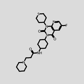 O=C(CCN1CCCCC1)NC1CCC(n2c(=O)c3cc(F)cnc3n(C3CCSCC3)c2=O)CC1